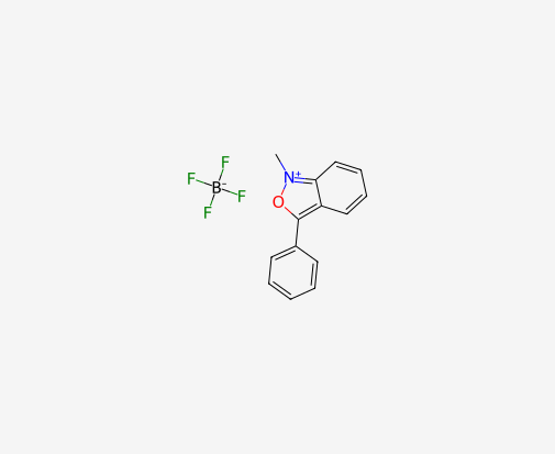 C[n+]1oc(-c2ccccc2)c2ccccc21.F[B-](F)(F)F